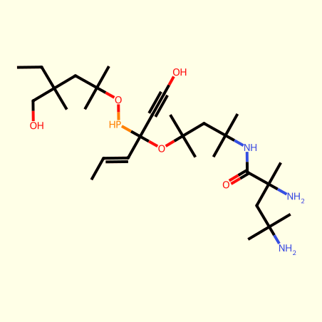 CC=CC(C#CO)(OC(C)(C)CC(C)(C)NC(=O)C(C)(N)CC(C)(C)N)POC(C)(C)CC(C)(CC)CO